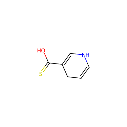 OC(=S)C1=CNC=CC1